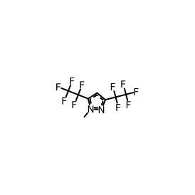 Cn1nc(C(F)(F)C(F)(F)F)cc1C(F)(F)C(F)(F)F